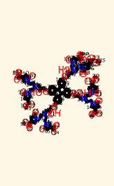 COC(=O)C1CC(=O)N(CCN(CCN2CC(C(=O)OC)CC2=O)CC(O)COc2ccc(C(c3ccc(OCC(O)CN(CCN4CC(C(=O)OC)CC4=O)CCN4CC(C(=O)OC)CC4=O)cc3)C(c3ccc(OCC(O)CN(CCN4CC(C(=O)OC)CC4=O)CCN4CC(C(=O)OC)CC4=O)cc3)c3ccc(OCC(O)CN(CCN4CC(C(=O)OC)CC4=O)CN4CC(C(=O)OC)CC4=O)cc3)cc2)C1